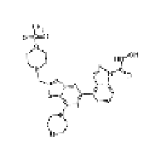 CS(=O)(=O)N1CCN(Cc2cc3nc(-c4cccc5c4cnn5C(=O)NO)nc(N4CCOCC4)c3s2)CC1